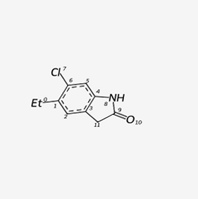 CCc1cc2c(cc1Cl)NC(=O)C2